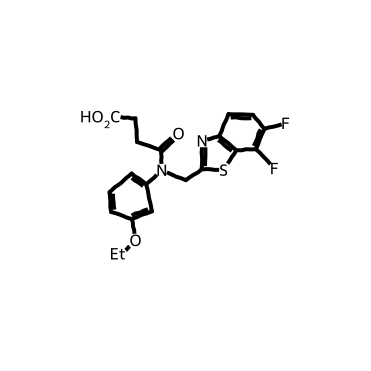 CCOc1cccc(N(Cc2nc3ccc(F)c(F)c3s2)C(=O)CCC(=O)O)c1